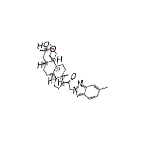 COC[C@]12CC[C@@](C)(O)C[C@H]1CC[C@H]1[C@@H]3CC[C@H](C(=O)Cn4cc5ccc(C)cc5n4)[C@@]3(C)CC[C@@H]12